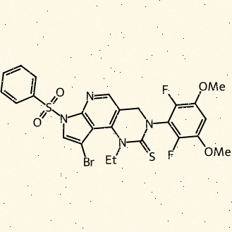 CCN1C(=S)N(c2c(F)c(OC)cc(OC)c2F)Cc2cnc3c(c(Br)cn3S(=O)(=O)c3ccccc3)c21